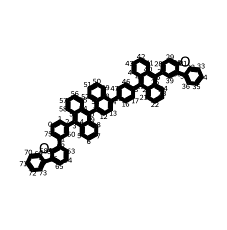 c1cc(-c2c3ccccc3c(-c3ccc(-c4ccc(-c5c6ccccc6c(-c6ccc7oc8ccccc8c7c6)c6ccccc56)cc4)c4ccccc34)c3ccccc23)cc(-c2cccc3c2oc2ccccc23)c1